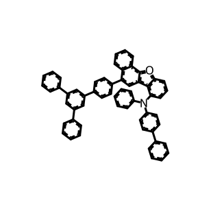 c1ccc(-c2ccc(N(c3ccccc3)c3cccc4oc5c6ccccc6c(-c6ccc(-c7cc(-c8ccccc8)cc(-c8ccccc8)c7)cc6)cc5c34)cc2)cc1